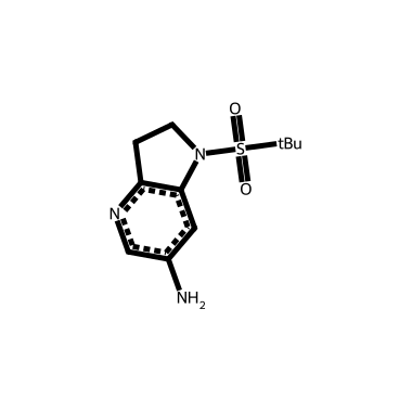 CC(C)(C)S(=O)(=O)N1CCc2ncc(N)cc21